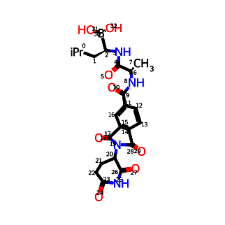 CC(C)C[C@H](NC(=O)[C@H](C)NC(=O)c1ccc2c(c1)C(=O)N(C1CCC(=O)NC1=O)C2=O)B(O)O